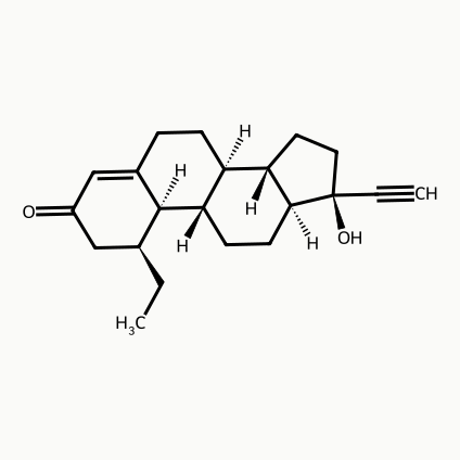 C#C[C@@]1(O)CC[C@H]2[C@@H]3CCC4=CC(=O)C[C@H](CC)[C@@H]4[C@H]3CC[C@@H]21